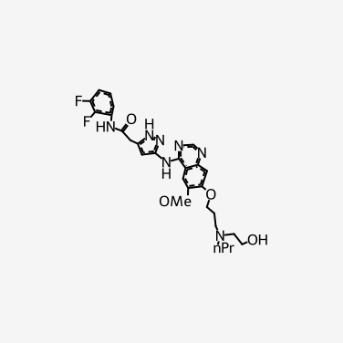 CCCN(CCO)CCCOc1cc2ncnc(Nc3cc(CC(=O)Nc4cccc(F)c4F)[nH]n3)c2cc1OC